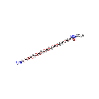 NCCOCCOCCOCCOCCOCCOCCOCCOCCOCCOCCOCCOCCC(=O)NCC(=O)O